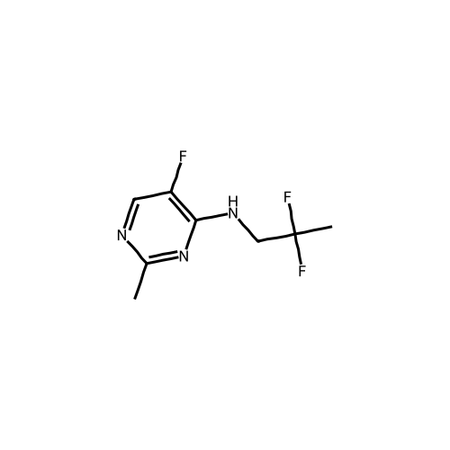 Cc1ncc(F)c(NCC(C)(F)F)n1